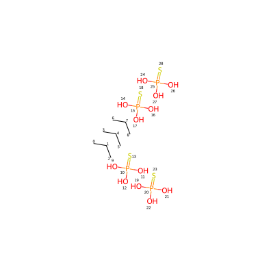 CCC.CCC.CCC.OP(O)(O)=S.OP(O)(O)=S.OP(O)(O)=S.OP(O)(O)=S